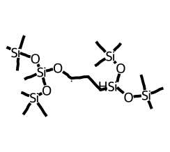 C[Si](C)(C)O[SiH](CC[CH]O[Si](C)(O[Si](C)(C)C)O[Si](C)(C)C)O[Si](C)(C)C